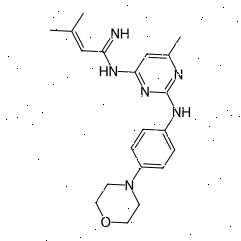 CC(C)=CC(=N)Nc1cc(C)nc(Nc2ccc(N3CCOCC3)cc2)n1